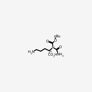 CCCCOC(=O)N(C(N)=O)[C@@H](CCCN)C(=O)O